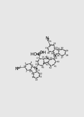 N#Cc1ccc2c(c1)c1ccccc1n2-c1cc(B(O)O)c2sc3c(-n4c5ccccc5c5cc(C#N)ccc54)cccc3c2c1